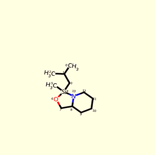 CC(C)C[Si]1(C)OCC2CCCCN21